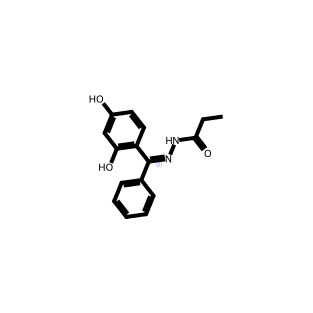 CCC(=O)N/N=C(/c1ccccc1)c1ccc(O)cc1O